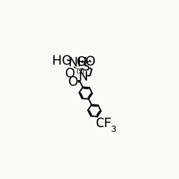 O=C(NO)[C@H]1N(C(=O)c2ccc(-c3ccc(C(F)(F)F)cc3)cc2)CCS1(=O)=O